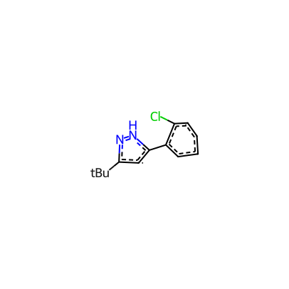 CC(C)(C)c1[c]c(-c2ccccc2Cl)[nH]n1